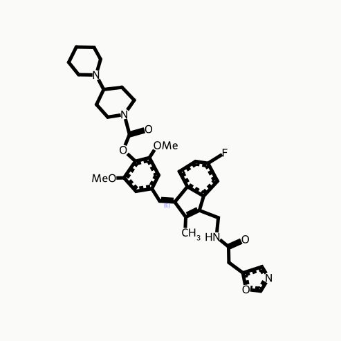 COc1cc(/C=C2/C(C)=C(CNC(=O)Cc3cnco3)c3cc(F)ccc32)cc(OC)c1OC(=O)N1CCC(N2CCCCC2)CC1